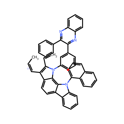 C=Cc1c(/C=C\C)c2ccc3c4ccccc4n(-c4cccc5ccccc45)c3c2n1-c1cccc(-c2nc3ccccc3nc2-c2ccccc2)c1